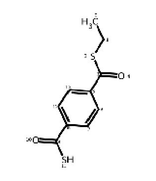 CCSC(=O)c1ccc(C(=O)S)cc1